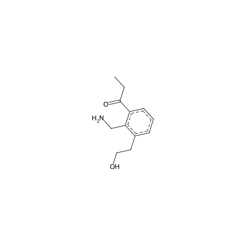 CCC(=O)c1cccc(CCO)c1CN